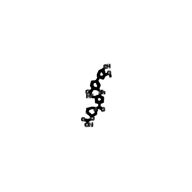 COc1cc(-c2ccc3c(c2)Nc2ccc(C(=O)N4CCCC(OC(=O)O)C4)cc2NC3=O)ccc1O